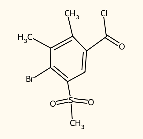 Cc1c(C(=O)Cl)cc(S(C)(=O)=O)c(Br)c1C